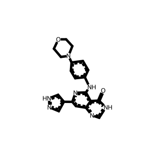 O=c1[nH]cnc2cc(-c3cn[nH]c3)nc(Nc3ccc(N4CCOCC4)cc3)c12